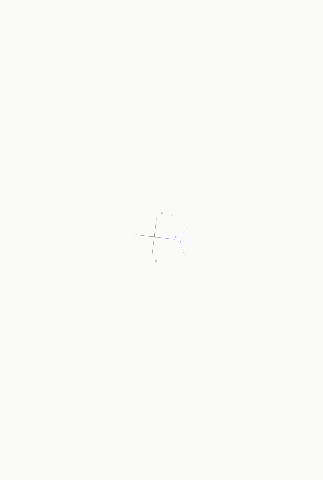 CC(C)COC(C)(OCC(C)C)N(C)C